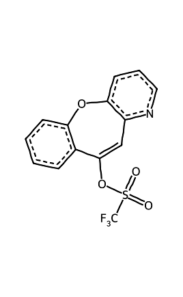 O=S(=O)(OC1=Cc2ncccc2Oc2ccccc21)C(F)(F)F